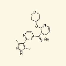 Cc1n[nH]c(C)c1-c1cc(-c2n[nH]c3ccnc(OC4CCOCC4)c23)ccn1